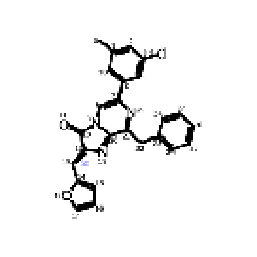 Cc1cc(Cl)cc(C2=CN3C(=O)/C(=C/c4ccco4)N=C3C(Cc3ccccc3)=N2)c1